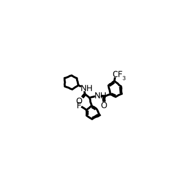 O=C(NC(C(=O)NC1CCCCC1)c1ccccc1F)c1cccc(C(F)(F)F)c1